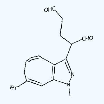 CC(C)c1ccc2c(C(C=O)CCC=O)nn(C)c2c1